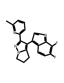 Cc1cccc(-c2nn3c(c2-c2ccnc4c(F)c(F)ccc24)CCC3)n1